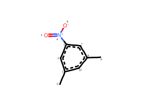 Cc1[c]c([N+](=O)[O-])cc(C)c1